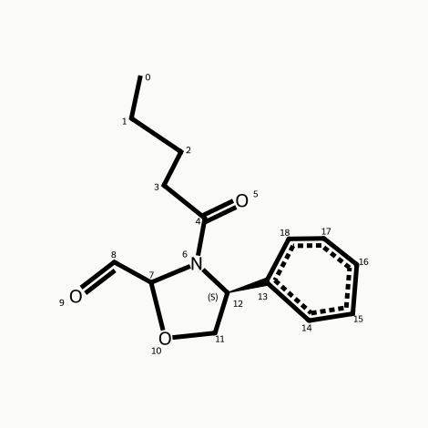 CCCCC(=O)N1C(C=O)OC[C@@H]1c1ccccc1